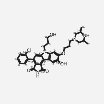 CC1CN(CCCOc2cc3c(cc2O)c2c4c(c(-c5ccccc5Cl)cc2n3CCCO)C(=O)NC4=O)CC(C)N1